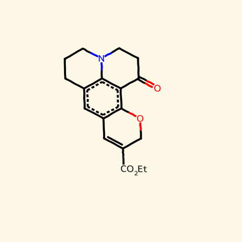 CCOC(=O)C1=Cc2cc3c4c(c2OC1)C(=O)CCN4CCC3